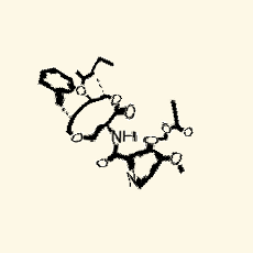 CCCC(C)O[C@@H]1[C@@H](Cc2ccccc2)COC[C@H](NC(=O)c2nccc(OC)c2OCOC(C)=O)C(=O)O[C@H]1C